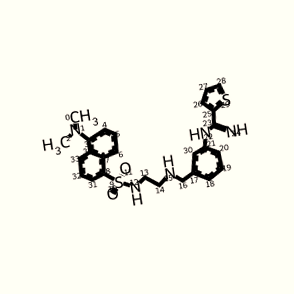 CN(C)c1cccc2c(S(=O)(=O)NCCNCc3cccc(NC(=N)c4cccs4)c3)cccc12